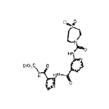 CCOC(=O)NC(=O)c1ccsc1NC(=O)c1ccnc(NC(=O)N2CCS(=O)(=O)CC2)c1